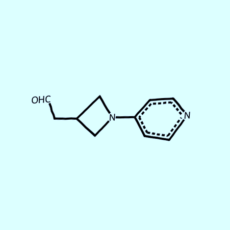 O=CCC1CN(c2ccncc2)C1